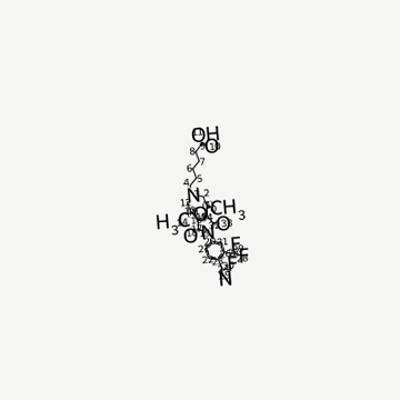 C[C@]12CN(CCCCCC(=O)O)C[C@](C)(O1)C1C(=O)N(c3ccc(C#N)c(C(F)(F)F)c3)C(=O)C12